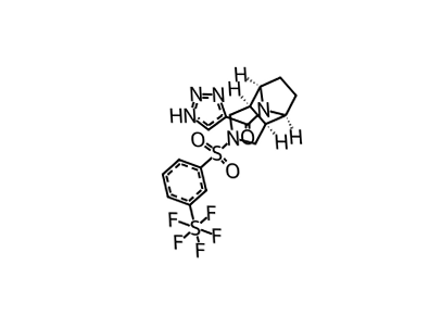 O=C(c1c[nH]nn1)N1[C@@H]2CC[C@H]1[C@H]1CN(S(=O)(=O)c3cccc(S(F)(F)(F)(F)F)c3)C[C@H]12